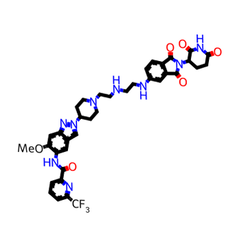 COc1cc2nn(C3CCN(CCNCCNc4ccc5c(c4)C(=O)N(C4CCC(=O)NC4=O)C5=O)CC3)cc2cc1NC(=O)c1cccc(C(F)(F)F)n1